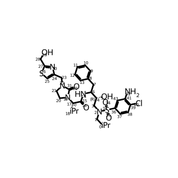 CC(C)CN(C[C@@H](O)C(Cc1ccccc1)NC(=O)[C@H](C(C)C)N1CCN(Cc2csc(CO)n2)C1=O)S(=O)(=O)c1ccc(Cl)c(N)c1